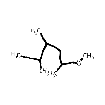 COC(C)CC(C)C(C)C